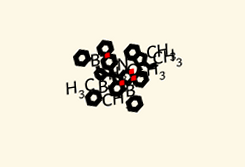 C/C=C\C1=C(C)c2cccc(N3c4ccccc4C4(c5cc(B(c6ccccc6)c6ccccc6)ccc5B(c5c(C)cccc5C)c5ccc(B(c6ccccc6)c6ccccc6)cc54)c4ccccc43)c2C1(C)C